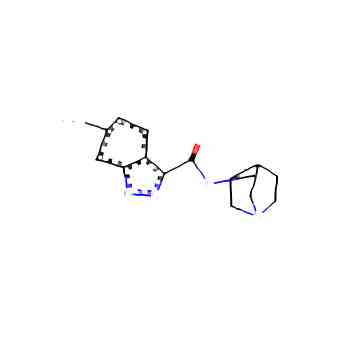 COc1ccc2c(C(=O)N[C@@H]3CN4CCC3CC4)n[nH]c2c1